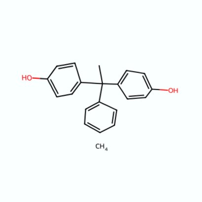 C.CC(c1ccccc1)(c1ccc(O)cc1)c1ccc(O)cc1